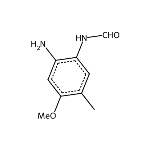 COc1cc(N)c(NC=O)cc1C